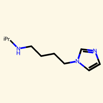 CC(C)NCCCCn1ccnc1